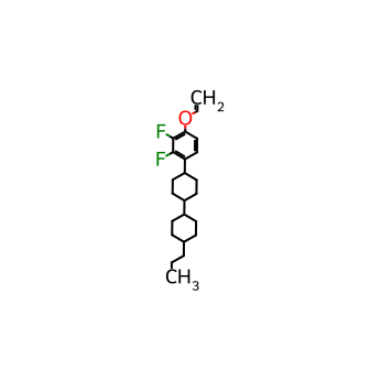 C=COc1ccc(C2CCC(C3CCC(CCC)CC3)CC2)c(F)c1F